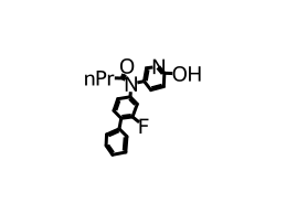 CCCC(=O)N(c1ccc(O)nc1)c1ccc(-c2ccccc2)c(F)c1